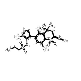 CCCS(=O)(=O)Oc1c(-c2cc(C)c3c(c2C)C(C)(C)CC(=C=O)S3(=O)=O)cnn1C